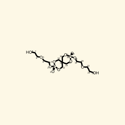 O=P1(OCCOCCO)OCC2(CO1)COP(=O)(OCCOCCO)OC2